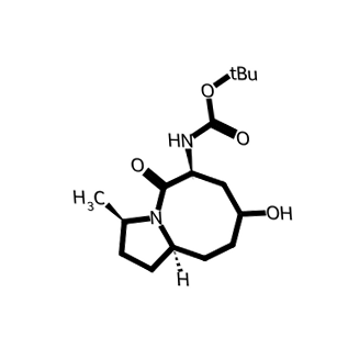 C[C@@H]1CC[C@@H]2CCC(O)C[C@H](NC(=O)OC(C)(C)C)C(=O)N21